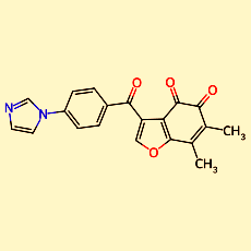 CC1=C(C)c2occ(C(=O)c3ccc(-n4ccnc4)cc3)c2C(=O)C1=O